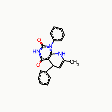 CC1=CC(c2ccccc2)c2c(n(-c3ccccc3)c(=O)[nH]c2=O)N1